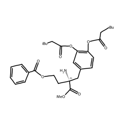 CCC(C)CC(=O)Oc1ccc(C[C@](N)(CCOC(=O)c2ccccc2)C(=O)OC)cc1OC(=O)CC(C)CC